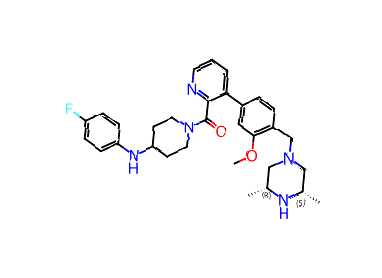 COc1cc(-c2cccnc2C(=O)N2CCC(Nc3ccc(F)cc3)CC2)ccc1CN1C[C@@H](C)N[C@@H](C)C1